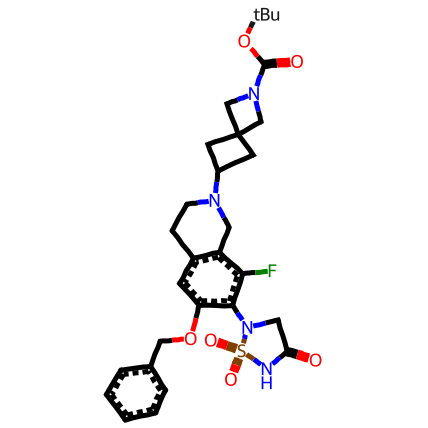 CC(C)(C)OC(=O)N1CC2(CC(N3CCc4cc(OCc5ccccc5)c(N5CC(=O)NS5(=O)=O)c(F)c4C3)C2)C1